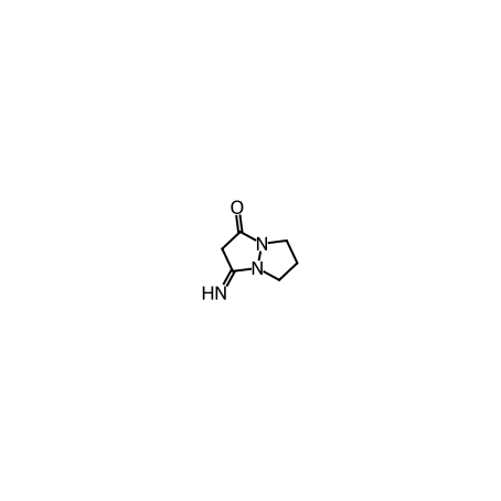 N=C1CC(=O)N2CCCN12